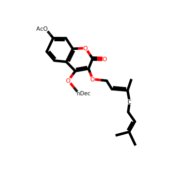 CCCCCCCCCCOc1c(OC/C=C(\C)CCC=C(C)C)c(=O)oc2cc(OC(C)=O)ccc12